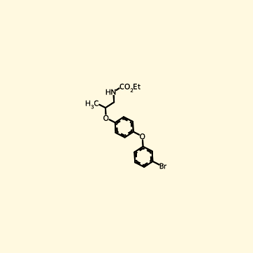 CCOC(=O)NCC(C)Oc1ccc(Oc2cccc(Br)c2)cc1